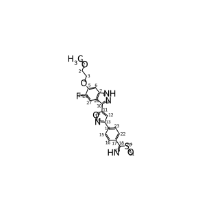 COCCOc1cc2[nH]nc(-c3cc(-c4ccc(C(=N)[S+]=O)cc4)no3)c2cc1F